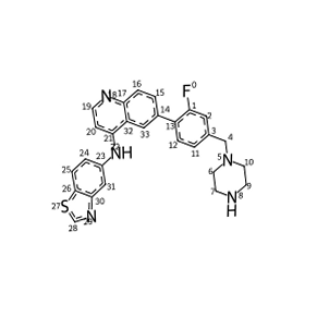 Fc1cc(CN2CCNCC2)ccc1-c1ccc2nccc(Nc3ccc4scnc4c3)c2c1